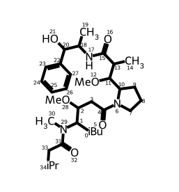 CCC(C)C(C(CC(=O)N1CCCC1C(OC)C(C)C(=O)NC(C)C(O)c1ccccc1)OC)N(C)C(=O)CC(C)C